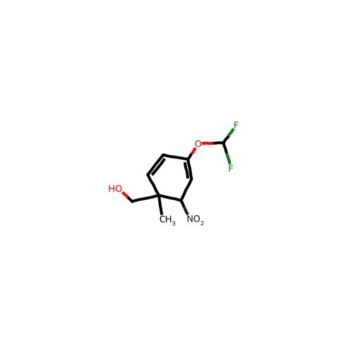 CC1(CO)C=CC(OC(F)F)=CC1[N+](=O)[O-]